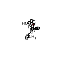 CC1COCCN1CCCOc1nc(N2CC3CCC(C2)N3)c2cc(Cl)c(-c3cc(O)cc4ccc(F)c(C56CC5C6)c34)c(F)c2n1